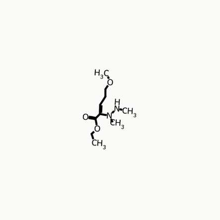 CCOC(=O)/C(=C/CCOC)N(C)NC